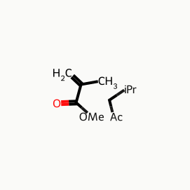 C=C(C)C(=O)OC.CC(=O)CC(C)C